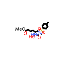 COC(=O)CCCCC[N+](C)(C(=O)NO)S(=O)(=O)c1ccc(C)cc1